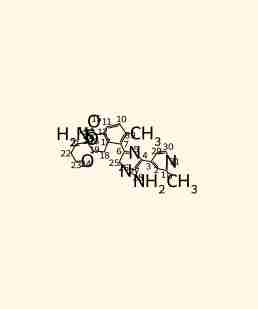 Cc1cc(-c2nc(-c3c(C)ccc(S(N)(=O)=O)c3CC3CCCCO3)cnc2N)ccn1